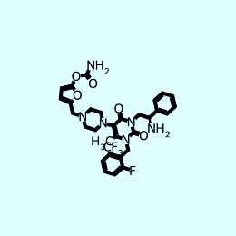 Cc1c(N2CCN(Cc3ccc(OC(N)=O)o3)CC2)c(=O)n(C[C@H](N)c2ccccc2)c(=O)n1Cc1c(F)cccc1C(F)(F)F